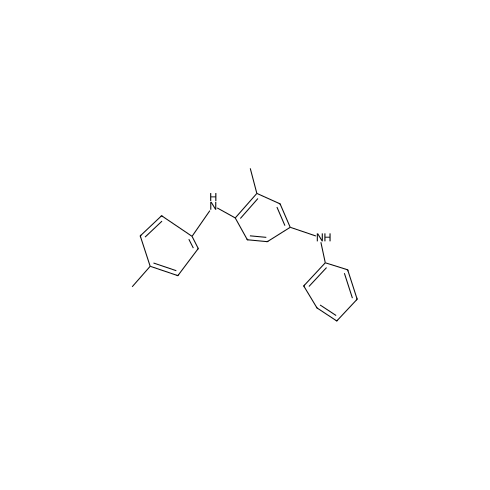 Cc1ccc(Nc2ccc(Nc3ccccc3)cc2C)cc1